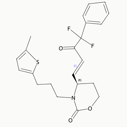 Cc1ccc(CCCN2C(=O)OCC[C@@H]2/C=C/C(=O)C(F)(F)c2ccccc2)s1